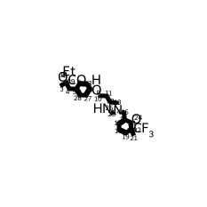 CCOC(C)(Cc1ccc(OCCC2CN(CC3=CC=CC(C)(C(F)(F)F)C3=O)CN2)cc1)C(=O)O